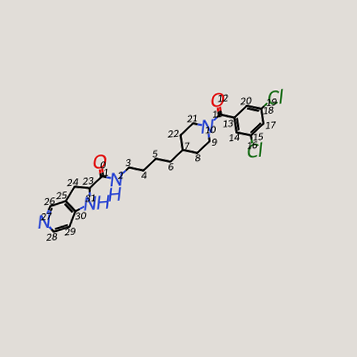 O=C(NCCCCC1CCN(C(=O)c2cc(Cl)cc(Cl)c2)CC1)C1Cc2cnccc2N1